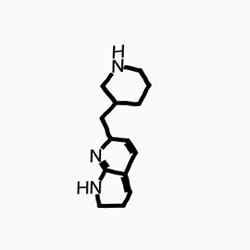 C1=CC(CC2CCCNC2)N=C2NCCC=C12